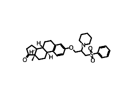 C[C@]12CC[C@@H]3c4ccc(OCC(CS(=O)(=O)c5ccccc5)N5CCCCC5)cc4CC[C@H]3[C@@H]1CCC2=O